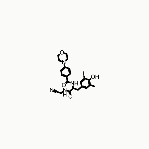 Cc1cc(CC(NC(=O)c2ccc(N3CCOCC3)cc2)C(=O)NCC#N)cc(I)c1O